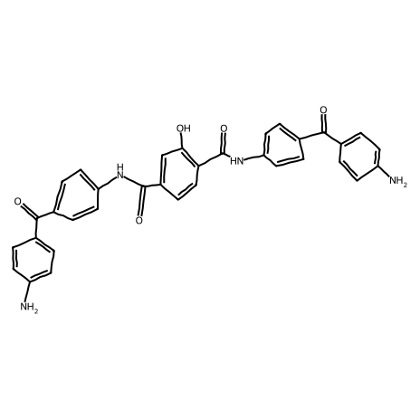 Nc1ccc(C(=O)c2ccc(NC(=O)c3ccc(C(=O)Nc4ccc(C(=O)c5ccc(N)cc5)cc4)c(O)c3)cc2)cc1